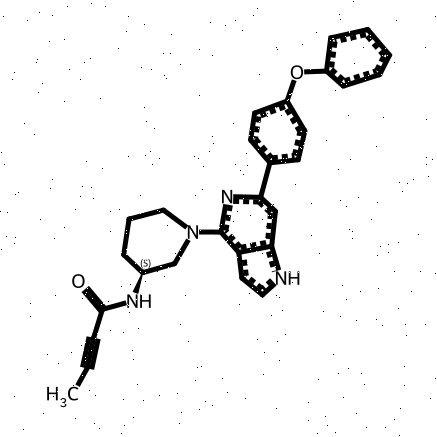 CC#CC(=O)N[C@H]1CCCN(c2nc(-c3ccc(Oc4ccccc4)cc3)cc3[nH]ccc23)C1